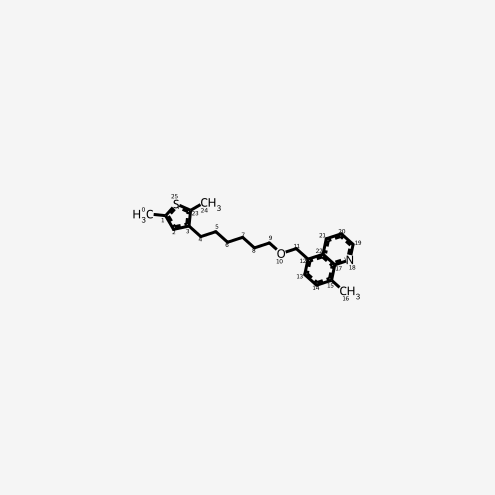 Cc1cc(CCCCCCOCc2ccc(C)c3ncccc23)c(C)s1